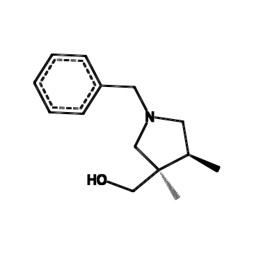 C[C@@H]1CN(Cc2ccccc2)C[C@]1(C)CO